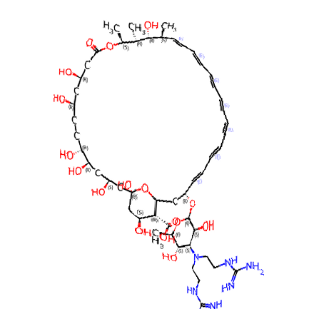 C[C@@H]1[C@H](O)[C@@H](C)/C=C/C=C/C=C/C=C/C=C/C=C/C=C/[C@H](O[C@@H]2O[C@H](C)[C@@H](O)[C@H](N(CCNC(=N)N)CCNC(=N)N)[C@@H]2O)CC2O[C@](O)(C[C@@H](O)C[C@@H](O)[C@H](O)CC[C@@H](O)C[C@@H](O)CC(=O)O[C@H]1C)C[C@H](O)[C@H]2C(=O)O